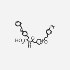 CC(C)c1ccc(CCC(=O)N2CCC(CC(=O)N[C@@H](Cc3ccc(OCc4ccccc4)cc3)C(=O)O)CC2)cc1